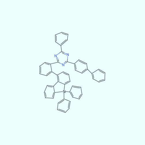 c1ccc(-c2ccc(-c3nc(-c4ccccc4)nc(-c4ccccc4-c4cccc5c4-c4ccccc4[Si]5(c4ccccc4)c4ccccc4)n3)cc2)cc1